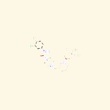 CC(C)(C)OC(=O)N1CCC[C@@H](CN2CCN(C(=O)Nc3ccc(Cl)c(Cl)c3)CC2)C1